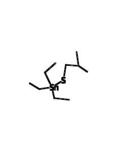 C[CH2][Sn]([CH2]C)([CH2]C)[S]CC(C)C